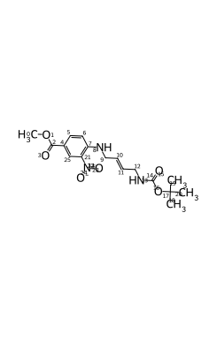 COC(=O)c1ccc(NC/C=C/CNC(=O)OC(C)(C)C)c([N+](=O)[O-])c1